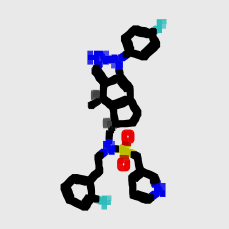 C[C@H]1C2=CNN(c3ccc(F)cc3)C2=CC2=C1[C@@H](CN(CCc1ccccc1F)S(=O)(=O)Cc1cccnc1)CC2